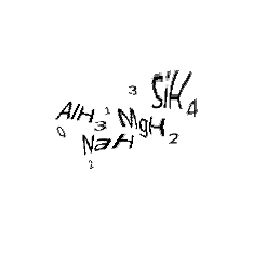 [AlH3].[MgH2].[NaH].[SiH4]